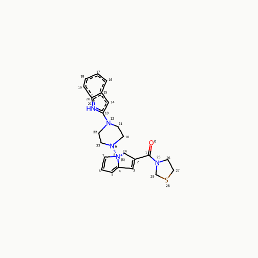 O=C(C1=CC2=CC=C[N@@+]2(N2CCN(c3cc4ccccc4[nH]3)CC2)C1)N1CCSC1